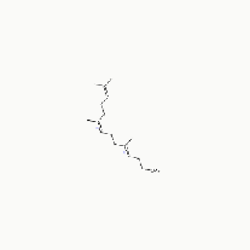 CC(=O)OCC/C=C(\C)CC/C=C(/C)CCC=C(C)C